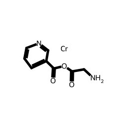 NCC(=O)OC(=O)c1cccnc1.[Cr]